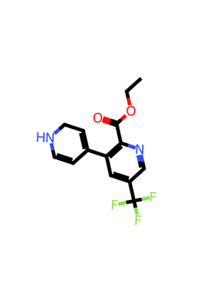 CCOC(=O)c1ncc(C(F)(F)F)cc1C1=CCNC=C1